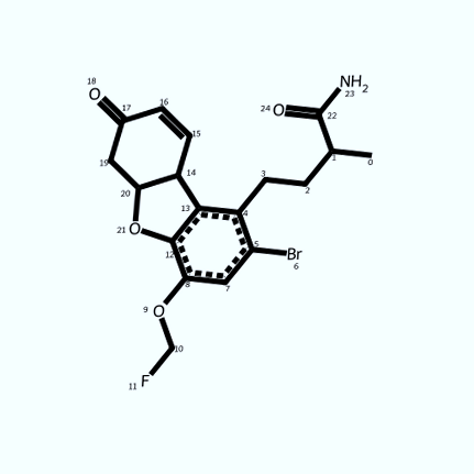 CC(CCc1c(Br)cc(OCF)c2c1C1C=CC(=O)CC1O2)C(N)=O